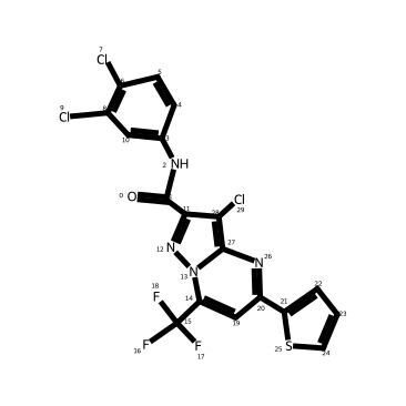 O=C(Nc1ccc(Cl)c(Cl)c1)c1nn2c(C(F)(F)F)cc(-c3cccs3)nc2c1Cl